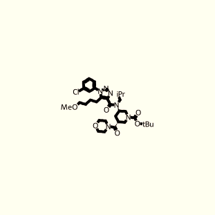 COCCCCc1c(C(=O)N(CC(C)C)[C@H]2C[C@@H](C(=O)N3CCOCC3)CN(C(=O)OC(C)(C)C)C2)nnn1-c1cccc(Cl)c1